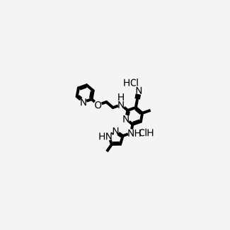 Cc1cc(Nc2cc(C)c(C#N)c(NCCOc3ccccn3)n2)n[nH]1.Cl.Cl